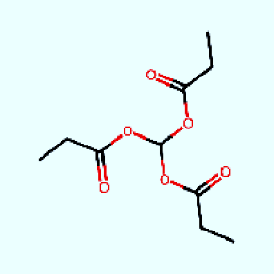 CCC(=O)OC(OC(=O)CC)OC(=O)CC